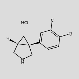 Cl.Clc1ccc([C@@]23CNC[C@@H]2C3)cc1Cl